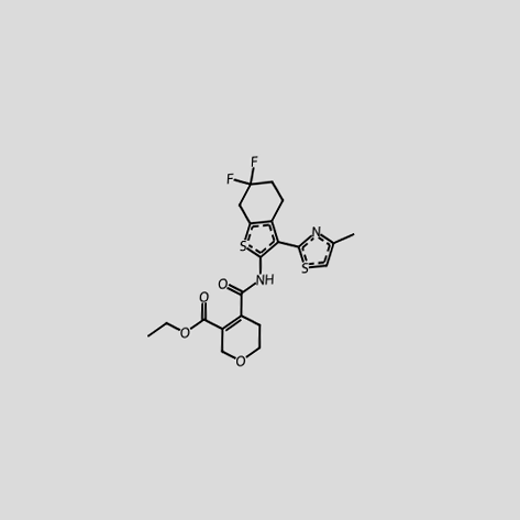 CCOC(=O)C1=C(C(=O)Nc2sc3c(c2-c2nc(C)cs2)CCC(F)(F)C3)CCOC1